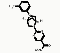 CNC(=O)c1cnc(N2C[C@@H]3C[C@H]2CN3c2cccc(C)c2)nc1